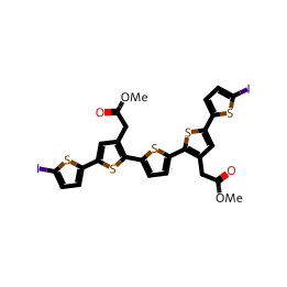 COC(=O)Cc1cc(-c2ccc(I)s2)sc1-c1ccc(-c2sc(-c3ccc(I)s3)cc2CC(=O)OC)s1